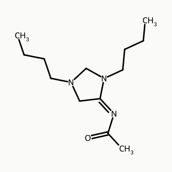 CCCCN1CC(=NC(C)=O)N(CCCC)C1